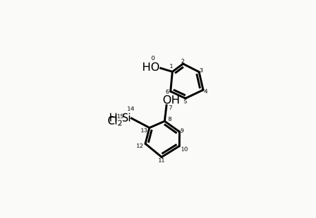 Oc1ccccc1.Oc1ccccc1[SiH2]Cl